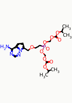 CC(C)OC(=O)OCOP(=O)(CCOCc1ccc2c(N)ncnn12)OCOC(=O)OC(C)C